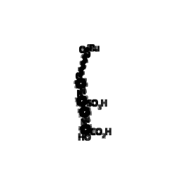 CCC(C)C(=O)OCCCCCCOc1ccc(N=Nc2ccc(-c3ccc(N=Nc4ccc(O)c(C(=O)O)c4)cc3)c(S(=O)(=O)O)c2)cc1